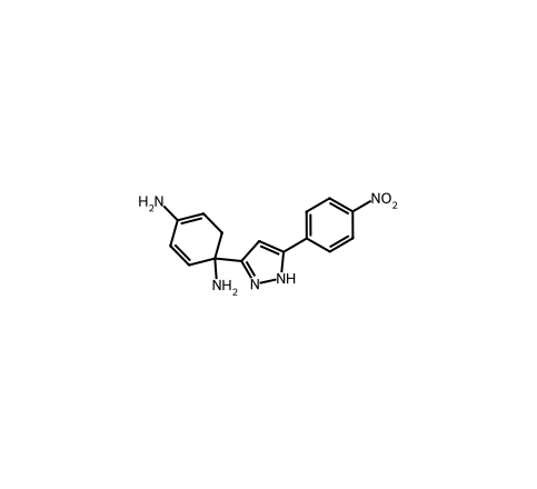 NC1=CCC(N)(c2cc(-c3ccc([N+](=O)[O-])cc3)[nH]n2)C=C1